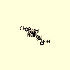 O=C(NCc1nc(Cc2ccccc2O)co1)[C@H](O)[C@@H](O)C(=O)N1CCc2cc(Cl)ccc21